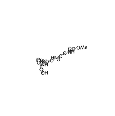 COCCOCC(=O)NCCOCCOCC(=O)NCCOCCOCC(=O)N[C@@H](Cc1ccc(O)cc1)C(=O)NC(C)C